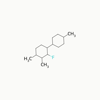 CC1CCC(C2CCC(C)C(C)C2F)CC1